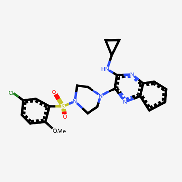 COc1ccc(Cl)cc1S(=O)(=O)N1CCN(c2nc3ccccc3nc2NC2CC2)CC1